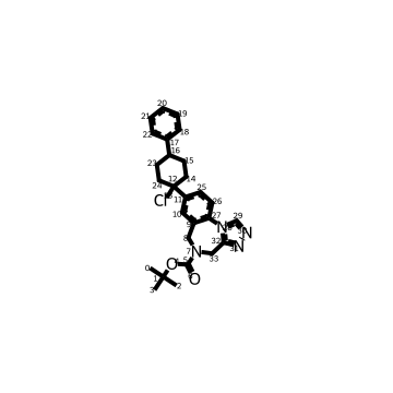 CC(C)(C)OC(=O)N1Cc2cc(C3(Cl)CCC(c4ccccc4)CC3)ccc2-n2cnnc2C1